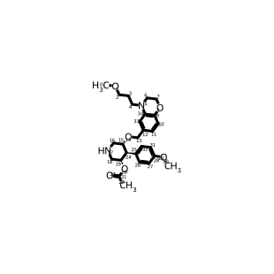 COCCCN1CCOc2ccc(CO[C@H]3CNC[C@@H](OC(C)=O)[C@@H]3c3ccc(OC)cc3)cc21